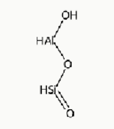 O=[SiH][O][AlH][OH]